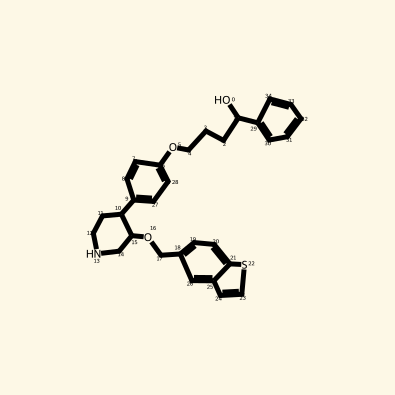 OC(CCCOc1ccc(C2CCNCC2OCc2ccc3sccc3c2)cc1)c1ccccc1